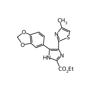 CCOC(=O)c1nc(-c2nc(C)cs2)c(-c2ccc3c(c2)OCO3)[nH]1